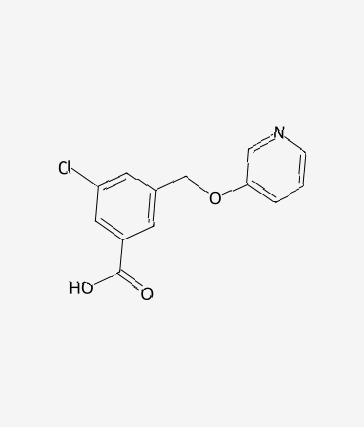 O=C(O)c1cc(Cl)cc(COc2cccnc2)c1